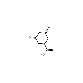 O=C1CC(=O)CC(C(=O)O)C1